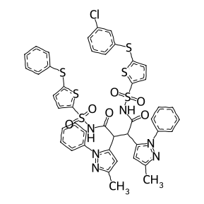 Cc1cc(C(C(=O)NS(=O)(=O)c2ccc(Sc3ccccc3)s2)C(C(=O)NS(=O)(=O)c2ccc(Sc3cccc(Cl)c3)s2)c2cc(C)nn2-c2ccccc2)n(-c2ccccc2)n1